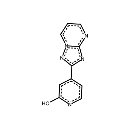 Oc1cc(-c2nc3ncccn3n2)ccn1